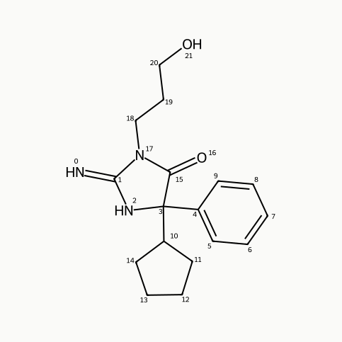 N=C1NC(c2ccccc2)(C2CCCC2)C(=O)N1CCCO